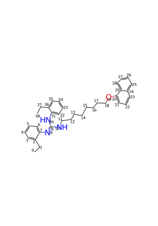 CCc1ccccc1/N=C(/NCCCCCCCCOc1cccc2ccccc12)Nc1ccccc1CC